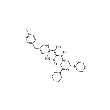 O=C(CN(CCN1CCOCC1)C(=O)c1c(O)c2ncc(Cc3ccc(F)cc3)cc2[nH]c1=O)N1CCCCC1